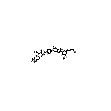 C[C@H](N)CCCc1cc(OC(F)(F)F)c(F)c(-c2cc3cn(-c4ccc([C@H](C)NCC[C@H](Cc5c[nH]nn5)NC(=N)N)cc4)c(=O)nc3[nH]2)c1